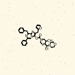 CCC(CC(C)CN(CC(C)C)C(=O)Oc1c(Cc2ccco2)nc2c(Cc3ccccc3)nc(-c3ccccc3)cn12)N1CCOCC1